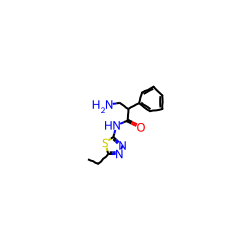 CCc1nnc(NC(=O)C(CN)c2ccccc2)s1